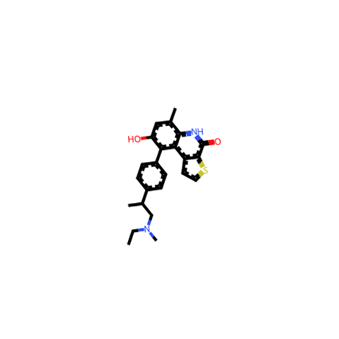 CCN(C)CC(C)c1ccc(-c2c(O)cc(C)c3[nH]c(=O)c4sccc4c23)cc1